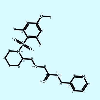 COc1cc(C)c(S(=O)(=O)N2CCCCC2COCC(=O)NCc2cccnc2)c(C)c1